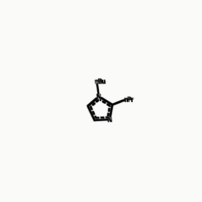 CCCCn1ccnc1CCC